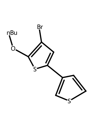 CCCCOc1sc(-c2ccsc2)cc1Br